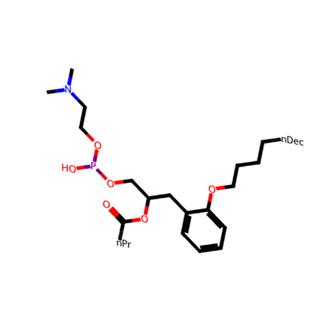 CCCCCCCCCCCCCCOc1ccccc1CC(COP(O)OCCN(C)C)OC(=O)CCC